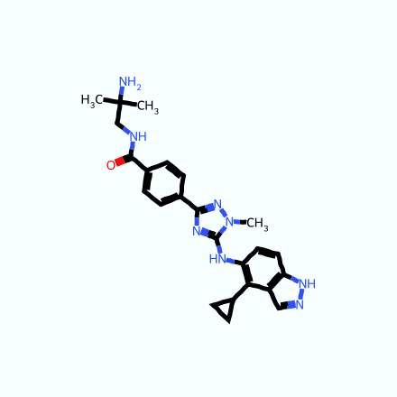 Cn1nc(-c2ccc(C(=O)NCC(C)(C)N)cc2)nc1Nc1ccc2[nH]ncc2c1C1CC1